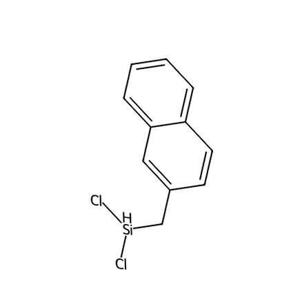 Cl[SiH](Cl)Cc1ccc2ccccc2c1